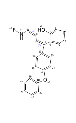 Oc1ccccc1/C(=C\C=C/NF)c1ccc(Oc2ccccc2)cc1